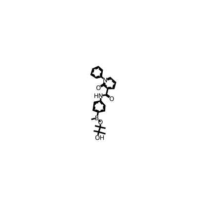 CB(OC(C)(C)C(C)(C)O)c1ccc(NC(=O)c2cccn(-c3ccccc3)c2=O)cc1